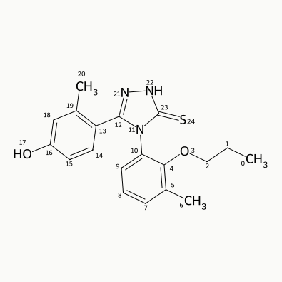 CCCOc1c(C)cccc1-n1c(-c2ccc(O)cc2C)n[nH]c1=S